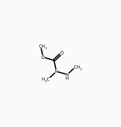 CNN(C)C(=O)OC